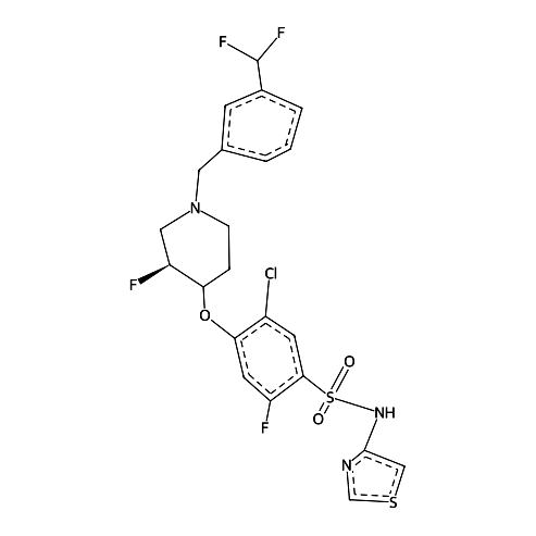 O=S(=O)(Nc1cscn1)c1cc(Cl)c(OC2CCN(Cc3cccc(C(F)F)c3)C[C@@H]2F)cc1F